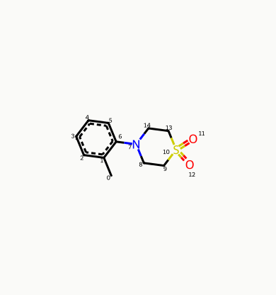 Cc1c[c]ccc1N1CCS(=O)(=O)CC1